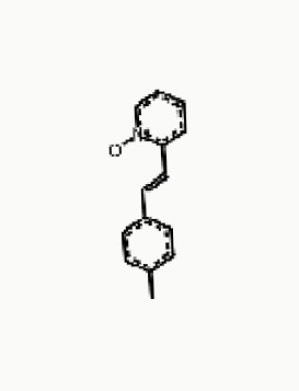 Cc1ccc(/C=C/c2cccc[n+]2[O-])cc1